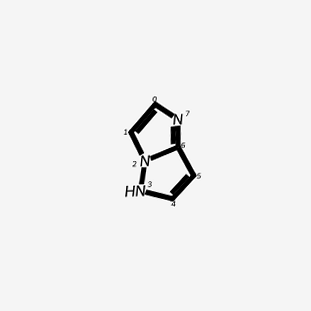 [c]1cn2[nH]ccc2n1